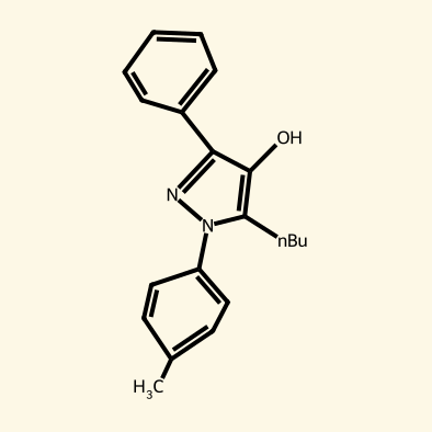 CCCCc1c(O)c(-c2ccccc2)nn1-c1ccc(C)cc1